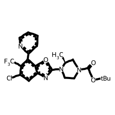 C[C@H]1CN(C(=O)OC(C)(C)C)CCN1c1nc2cc(Cl)c(C(F)(F)F)c(-c3ccccn3)c2o1